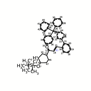 CC(C)(C)[Si](C)(C)OC1CCC(C(=O)/C=C/c2ccccc2-c2cn(C(c3ccccc3)(c3ccccc3)c3ccccc3)cn2)CC1